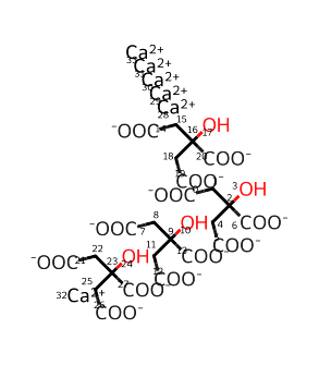 O=C([O-])CC(O)(CC(=O)[O-])C(=O)[O-].O=C([O-])CC(O)(CC(=O)[O-])C(=O)[O-].O=C([O-])CC(O)(CC(=O)[O-])C(=O)[O-].O=C([O-])CC(O)(CC(=O)[O-])C(=O)[O-].[Ca+2].[Ca+2].[Ca+2].[Ca+2].[Ca+2].[Ca+2]